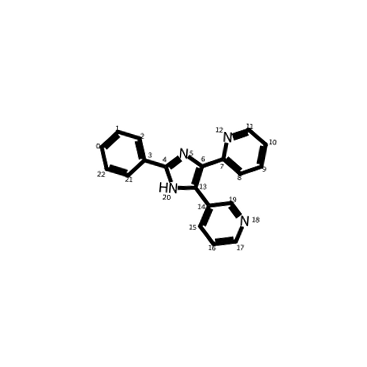 c1ccc(-c2nc(-c3ccccn3)c(-c3cccnc3)[nH]2)cc1